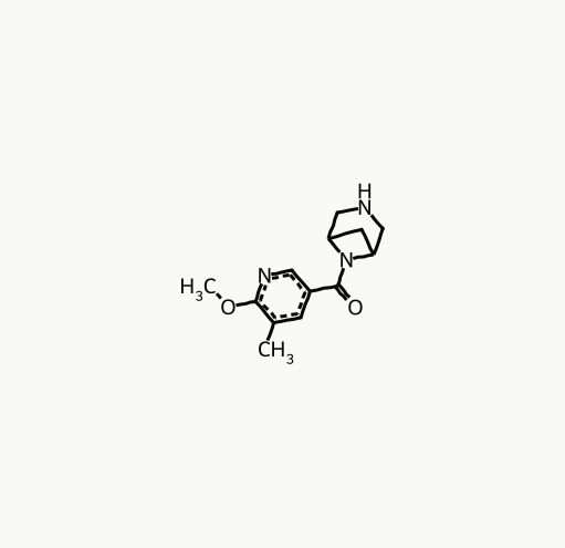 COc1ncc(C(=O)N2C3CNCC2C3)cc1C